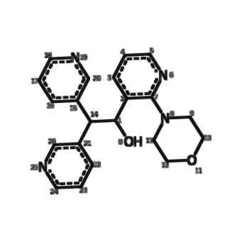 OC(c1cccnc1N1CCOCC1)C(c1cccnc1)c1cccnc1